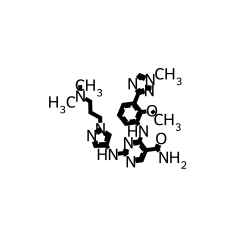 COc1c(Nc2nc(Nc3cnn(CCCN(C)C)c3)ncc2C(N)=O)cccc1-c1ncn(C)n1